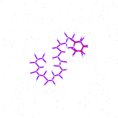 II(I)I(I)I(I)I(I)I(I)I(I)I(I)I(I)I(I)I(I)I(I)I(I)I(I)I(I)I(I)I(I)I(I)I(I)I(I)I(I)I(I)I(I)I(I)I(I)I(I)I(I)I(I)I(I)I(I)I(I)I(I)I(I)I